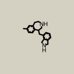 Cc1ccc2c(c1)CCNCC2Cc1cccc2c1CNC2